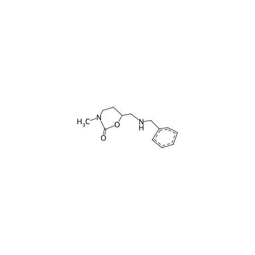 CN1CCC(CNCc2ccccc2)OC1=O